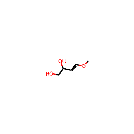 COC=CC(O)CO